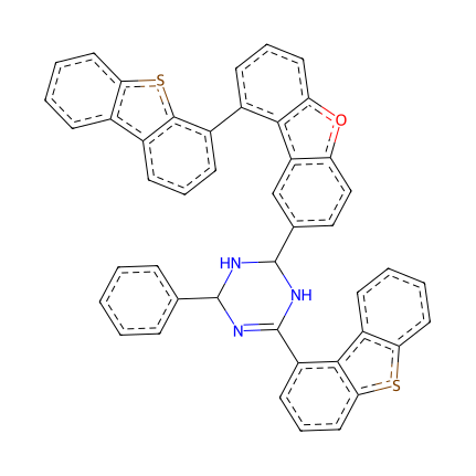 c1ccc(C2N=C(c3cccc4sc5ccccc5c34)NC(c3ccc4oc5cccc(-c6cccc7c6sc6ccccc67)c5c4c3)N2)cc1